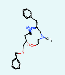 CN(CCO)CC(Cc1ccccc1)NCCCCOCc1ccccc1